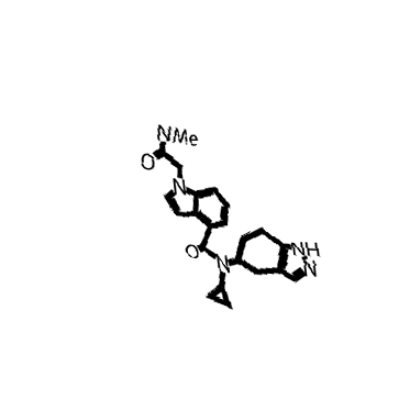 CNC(=O)Cn1ccc2c(C(=O)N(C3CC3)C3CCc4[nH]ncc4C3)cccc21